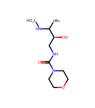 CCCCC(NC(=O)O)[C@@H](O)CNC(=O)N1CCOCC1